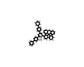 C1=CC2Cc3ccccc3C(C3=CCCC=C3)(C3C=C(C4C=C(c5ccc(C6CC=CCC6)cc5)C=C(c5ccc(-c6ccccc6)cc5)N4)C=CC3)C2C=C1